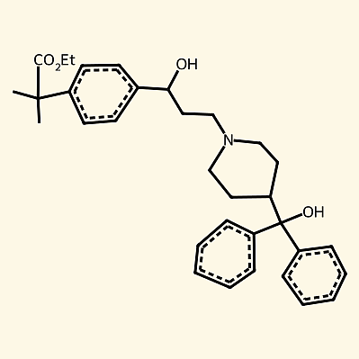 CCOC(=O)C(C)(C)c1ccc(C(O)CCN2CCC(C(O)(c3ccccc3)c3ccccc3)CC2)cc1